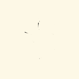 CCCC(CCC)C1=C(N(C)C)[C@H](CCC)[C@H](CC)N1C